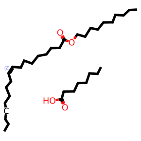 CCCCCCCC(=O)O.CCCCCCCC/C=C\CCCCCCCC(=O)OCCCCCCCCCC